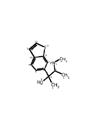 CNC(C)C(C)(O)c1ccc2ccsc2c1